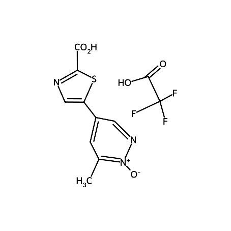 Cc1cc(-c2cnc(C(=O)O)s2)cn[n+]1[O-].O=C(O)C(F)(F)F